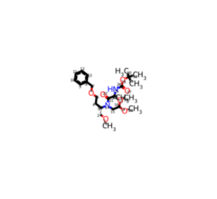 COC[C@H](CCOCc1ccccc1)N(CC(OC)OC)C(=O)[C@@H](C)NC(=O)OC(C)(C)C